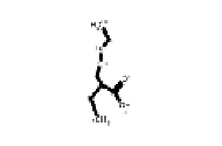 CCSCCC(CC)C(=O)O